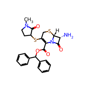 CN1CCC(SC2=C(C(=O)OC(c3ccccc3)c3ccccc3)N3C(=O)[C@@H](N)[C@H]3SC2)C1=O